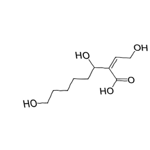 O=C(O)C(=CCO)C(O)CCCCCO